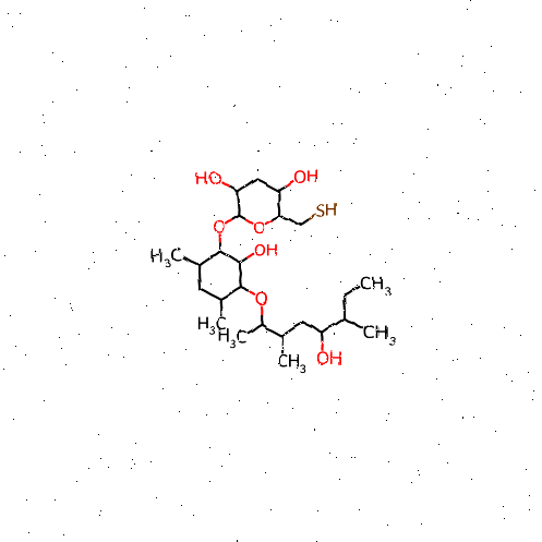 CCC(C)C(O)CC(C)C(C)OC1C(C)CC(C)C(OC2OC(CS)C(O)CC2O)C1O